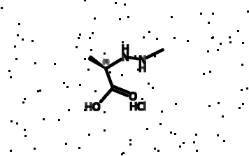 CNN[C@H](C)C(=O)O.Cl